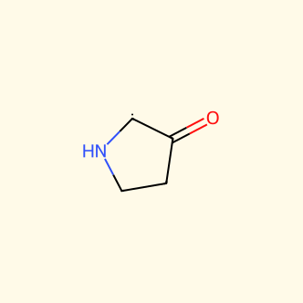 O=C1[CH]NCC1